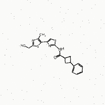 Cc1nc(CO)sc1-c1csc(NC(=O)C2CC(c3ccccc3)C2)n1